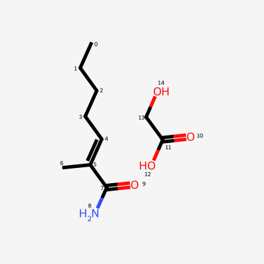 CCCC/C=C(\C)C(N)=O.O=C(O)CO